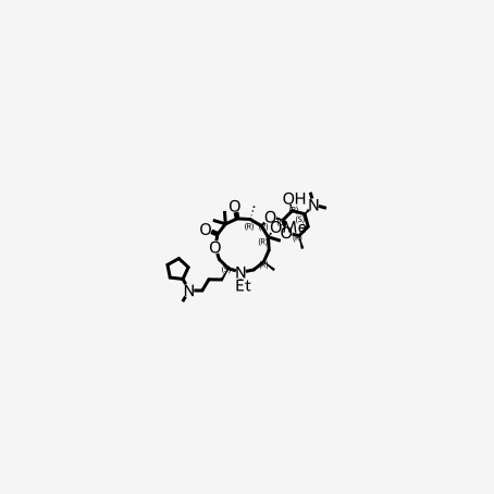 CCN1C[C@H](C)C[C@@](C)(OC)[C@H](O[C@@H]2O[C@H](C)C[C@H](N(C)C)[C@H]2O)[C@@H](C)C(=O)C(C)(C)C(=O)OC[C@@H]1CCCN(C)C1CCCC1